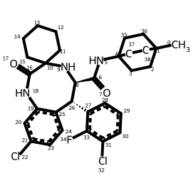 CC12CCC(NC(=O)[C@@H]3NC4(CCCCC4)C(=O)Nc4cc(Cl)ccc4[C@H]3c3cccc(Cl)c3F)(CC1)CC2